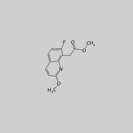 COC(=O)Cc1c(F)ccc2ccc(OC)nc12